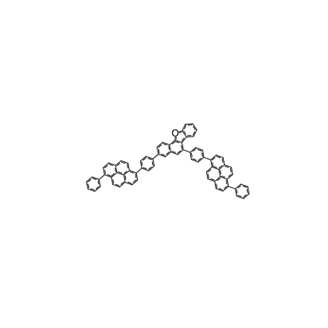 c1ccc(-c2ccc3ccc4c(-c5ccc(-c6ccc7c(c6)cc(-c6ccc(-c8ccc9ccc%10c(-c%11ccccc%11)ccc%11ccc8c9c%11%10)cc6)c6c8ccccc8oc76)cc5)ccc5ccc2c3c54)cc1